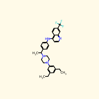 CCc1cc(CC)cc(N2CCN(C(C)c3ccc(Nc4ccnc5cc(C(F)(F)F)ccc45)cc3)CC2)c1